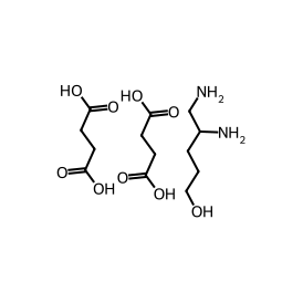 NCC(N)CCCO.O=C(O)CCC(=O)O.O=C(O)CCC(=O)O